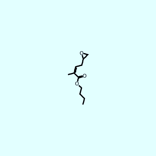 CCCCOC(=O)C(C)=CCC1CO1